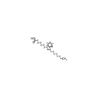 CCCCCCCCC=CCCCCCCCC(=O)O.c1ccncc1